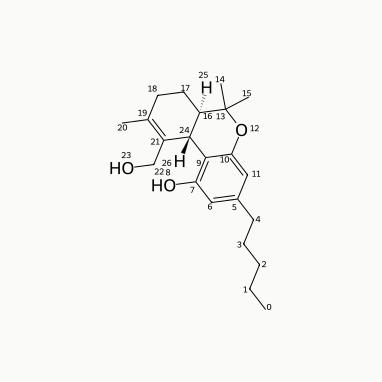 CCCCCc1cc(O)c2c(c1)OC(C)(C)[C@@H]1CCC(C)=C(CO)[C@@H]21